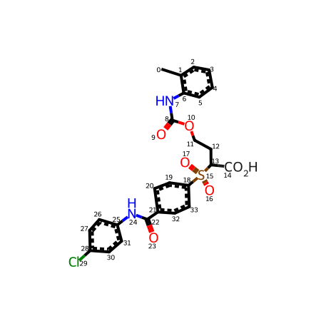 Cc1ccccc1NC(=O)OCCC(C(=O)O)S(=O)(=O)c1ccc(C(=O)Nc2ccc(Cl)cc2)cc1